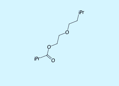 CC(C)CCOCCOC(=O)C(C)C